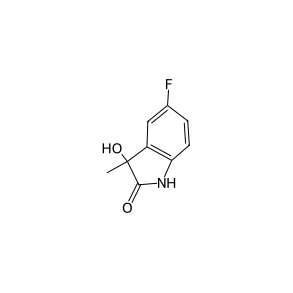 CC1(O)C(=O)Nc2ccc(F)cc21